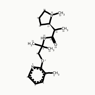 Cc1cccnc1OCC(C)(C)NC(=O)C(C)[C@H]1CCCN1C